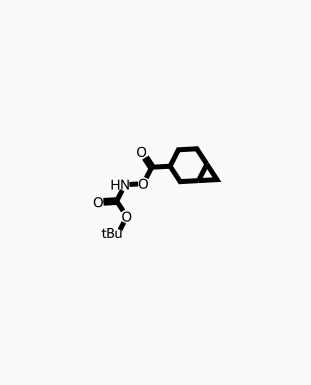 CC(C)(C)OC(=O)NOC(=O)C1CCC2CC2C1